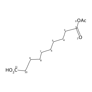 CC(=O)OC(=O)CCCCCCCCC(=O)O